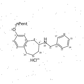 CCCCCOc1ccc2c(c1)CC(NCc1ccccc1)CCC2.Cl